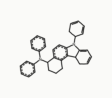 C1=CCC2C(=C1)N(C1C=CC=CC1)c1ccc3c(c12)CCCC3N(c1ccccc1)c1ccccc1